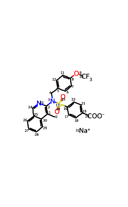 Cc1c(N(Cc2ccc(OC(F)(F)F)cc2)S(=O)(=O)c2ccc(C(=O)[O-])cc2)ncc2ccccc12.[Na+]